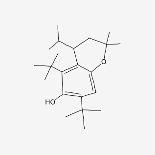 CC(C)C1CC(C)(C)Oc2cc(C(C)(C)C)c(O)c(C(C)(C)C)c21